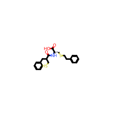 O=C(N[C@@H](CSCCc1ccccc1)C(=O)O)C(CS)Cc1ccccc1